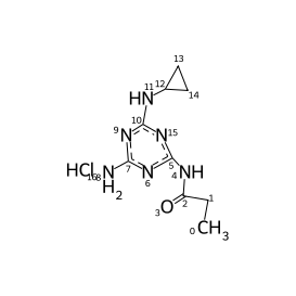 CCC(=O)Nc1nc(N)nc(NC2CC2)n1.Cl